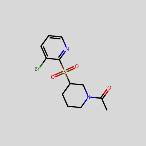 CC(=O)N1CCCC(S(=O)(=O)c2ncccc2Br)C1